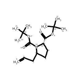 C=CCC1CC[C@@H](C(=O)OC(C)(C)C)N1C(=O)OC(C)(C)C